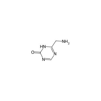 NCc1ncnc(=O)[nH]1